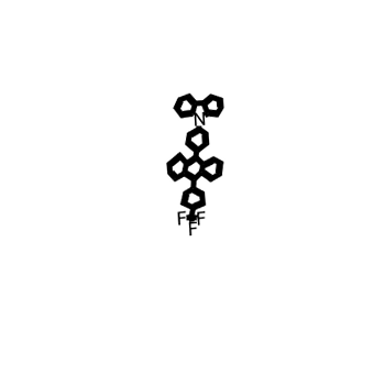 FC(F)(F)c1ccc(-c2c3ccccc3c(-c3ccc(-n4c5ccccc5c5ccccc54)cc3)c3ccccc23)cc1